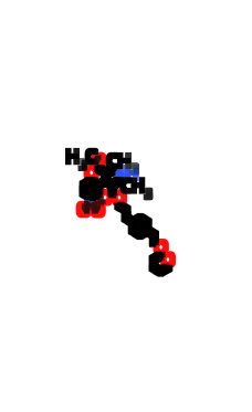 COC(=O)C1=C(C)NC(C)=C(C(=O)OCCCc2ccc(CCOC3CCCCO3)cc2)C1c1cccc([N+](=O)[O-])c1